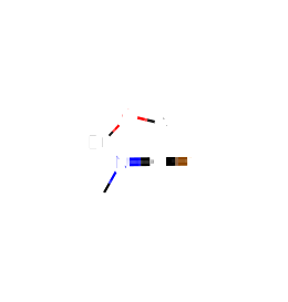 CCOC(C)=O.CN=C=S